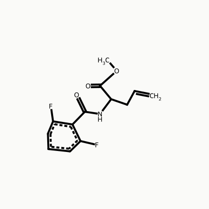 C=CCC(NC(=O)c1c(F)cccc1F)C(=O)OC